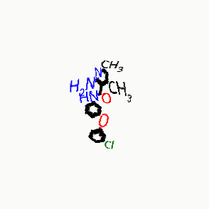 Cc1cc(C)c(C(=O)Nc2cccc(Oc3cccc(Cl)c3)c2)c(N)n1